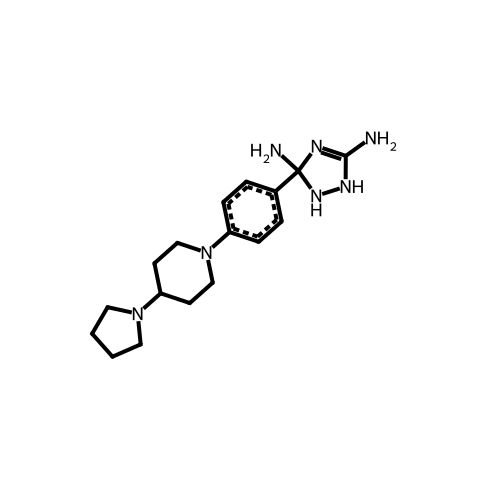 NC1=NC(N)(c2ccc(N3CCC(N4CCCC4)CC3)cc2)NN1